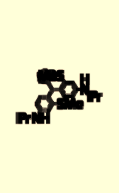 CSc1cc(NC(C)C)ccc1C(c1ccco1)c1ccc(NC(C)C)cc1SC